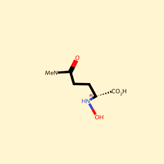 CNC(=O)CC[C@@H](NO)C(=O)O